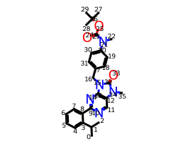 CC(C)c1ccccc1-c1ncc2c(n1)n(Cc1ccc(N(C)C(=O)OC(C)(C)C)cc1)c(=O)n2C